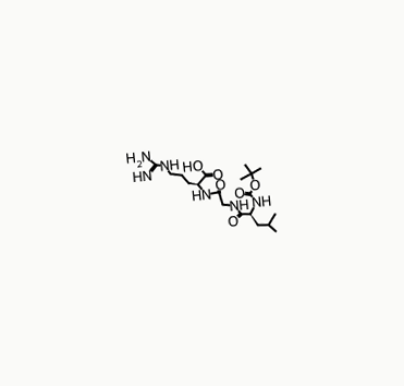 CC(C)C[C@H](NC(=O)OC(C)(C)C)C(=O)NCC(=O)N[C@@H](CCCNC(=N)N)C(=O)O